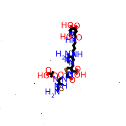 CC(C)(O/N=C(\C(=O)N[C@@H]1C(=O)N2C(C(=O)O)=C(CN3C=C(NCCCCNC(=O)c4cc(=O)c(O)cn4O)C(N)=NC3)CSC12)c1csc(N)n1)C(=O)O